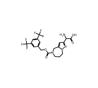 NC(C(=O)O)c1cc2n(n1)CCCN(C(=O)OCc1cc(C(F)(F)F)cc(C(F)(F)F)c1)C2